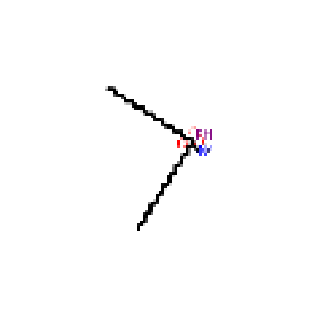 CCCCCCCCCCCCCCCCCC(=O)C(C[N+](C)(C)C)(O[PH-])C(=O)CCCCCCCCCCCCCCCCC